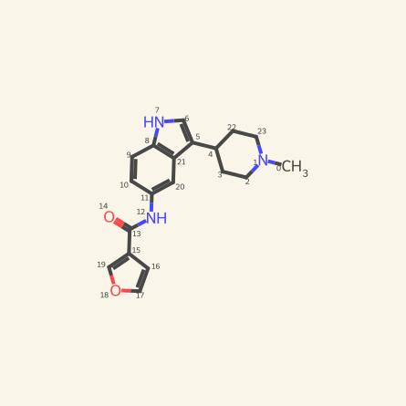 CN1CCC(c2c[nH]c3ccc(NC(=O)c4ccoc4)cc23)CC1